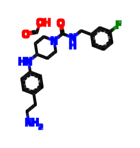 NCCc1ccc(NC2CCN(C(=O)NCc3cccc(F)c3)CC2)cc1.O=CO